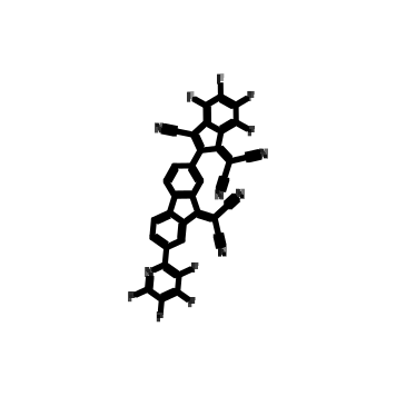 N#CC(C#N)=C1c2cc(C3=C(C#N)c4c(F)c(F)c(F)c(F)c4C3=C(C#N)C#N)ccc2-c2ccc(-c3nc(F)c(F)c(F)c3F)cc21